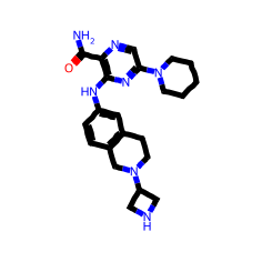 NC(=O)c1ncc(N2CCCCC2)nc1Nc1ccc2c(c1)CCN(C1CNC1)C2